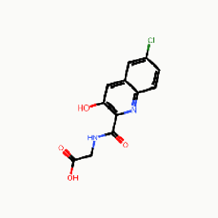 O=C(O)CNC(=O)c1nc2ccc(Cl)cc2cc1O